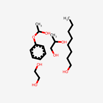 CC(O)CO.CC(O)Oc1ccccc1.CCCCCCCCO.OCCO